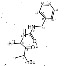 [CH2]C(CCCC)C(=O)C(NC(=O)NCc1ccccc1)C(C)C